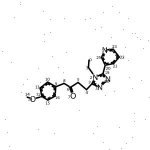 CCn1c(CCC(=O)Cc2ccc(OC)cc2)nnc1-c1cccnc1